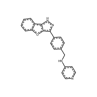 c1ccc2c(c1)oc1c(-c3ccc(CNc4ccncc4)cc3)n[nH]c12